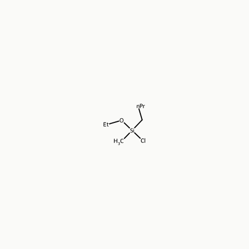 CCCC[Si](C)(Cl)OCC